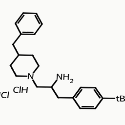 CC(C)(C)c1ccc(CC(N)CN2CCC(Cc3ccccc3)CC2)cc1.Cl.Cl